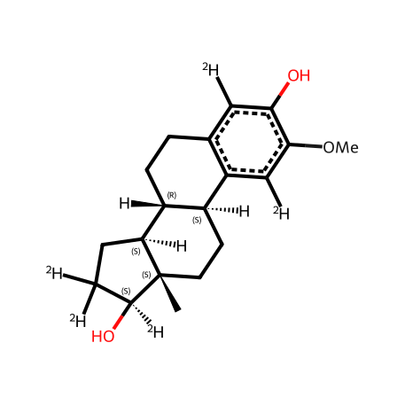 [2H]c1c(O)c(OC)c([2H])c2c1CC[C@@H]1[C@@H]2CC[C@@]2(C)[C@H]1CC([2H])([2H])[C@]2([2H])O